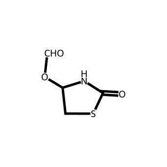 O=COC1CSC(=O)N1